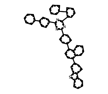 c1ccc(-c2ccc(-c3nc(-c4ccc(-c5ccc(-c6ccc7c(c6)sc6ccccc67)c6ccccc56)cc4)nc(-c4ccccc4-c4ccccc4)n3)cc2)cc1